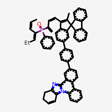 C=C(/C=C\C1=C(C)C2(c3cc(-c4ccc(-c5ccc6c7ccccc7n7c8c(nc7c6c5)CCC=C8)cc4)ccc31)c1ccccc1-c1ccccc12)P(=O)(C(/C=C\C)=C/CC)c1ccccc1